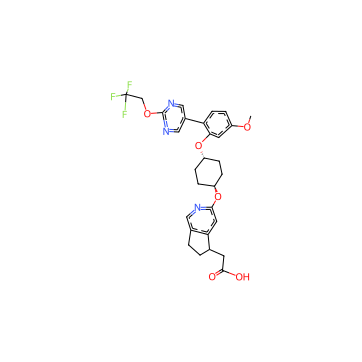 COc1ccc(-c2cnc(OCC(F)(F)F)nc2)c(O[C@H]2CC[C@H](Oc3cc4c(cn3)CCC4CC(=O)O)CC2)c1